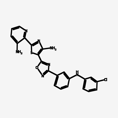 Nc1cccnc1-c1nc(N)c(-c2nc(-c3cccc(Nc4cccc(Cl)c4)c3)no2)s1